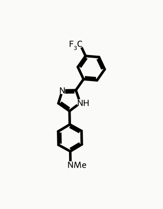 CNc1ccc(-c2cnc(-c3cccc(C(F)(F)F)c3)[nH]2)cc1